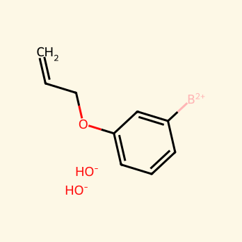 [B+2]c1cccc(OCC=C)c1.[OH-].[OH-]